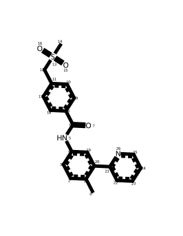 Cc1ccc(NC(=O)c2ccc(CS(C)(=O)=O)cc2)cc1-c1ccccn1